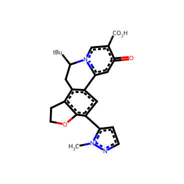 Cn1nccc1-c1cc2c(c3c1OCC3)CC(C(C)(C)C)n1cc(C(=O)O)c(=O)cc1-2